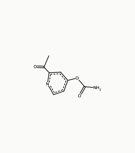 CC(=O)c1cc(OC(N)=O)ccn1